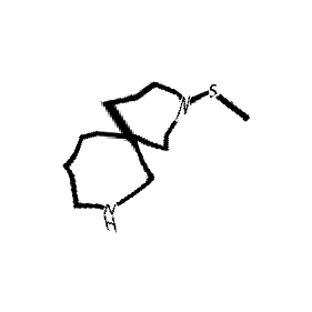 CSN1CCC2(CCCNC2)C1